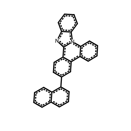 c1ccc2c(-c3ccc4c(c3)c3ccccc3n3c5ccccc5nc43)cccc2c1